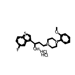 COc1ccccc1N1CCN(CCC(O)c2csc3ccc(F)cc23)CC1.Cl.Cl